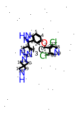 CC(Oc1ccc2[nH]nc(-c3cnc(N4CC5(CNC5)C4)nc3)c2c1)c1c(Cl)cncc1Cl